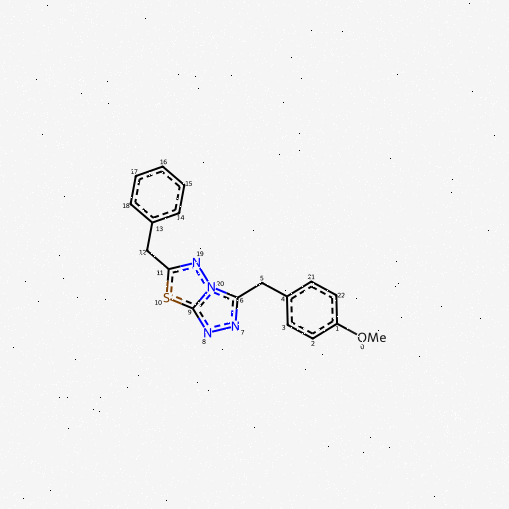 COc1ccc(Cc2nnc3sc(Cc4ccccc4)nn23)cc1